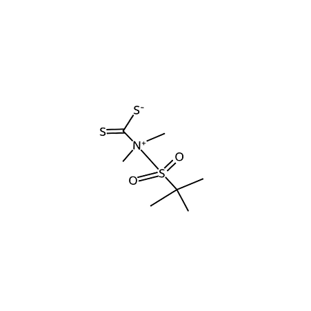 CC(C)(C)S(=O)(=O)[N+](C)(C)C(=S)[S-]